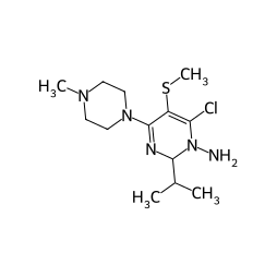 CSC1=C(Cl)N(N)C(C(C)C)N=C1N1CCN(C)CC1